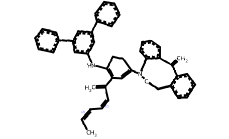 C=C(/C=C\C=C/C)C1=C(Nc2cc(-c3ccccc3)cc(-c3ccccc3)c2)CCC(N2CCc3ccccc3C(=C)c3ccccc32)=C1